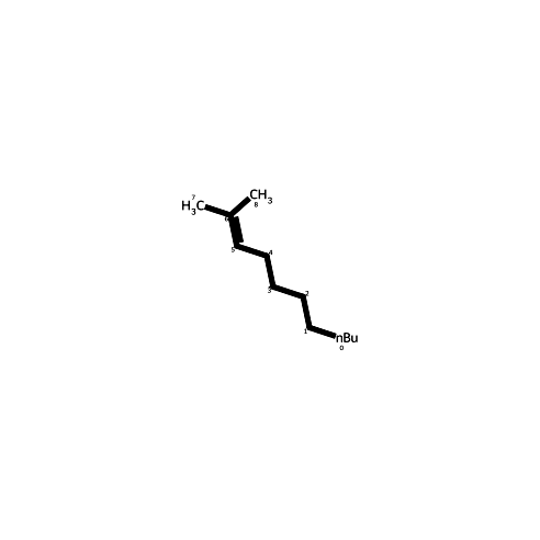 CCCCCC[CH]CC=C(C)C